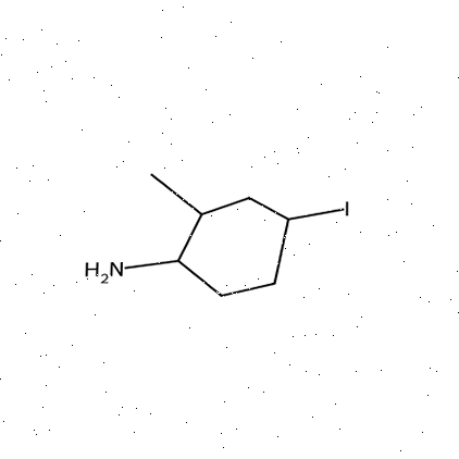 CC1CC(I)CCC1N